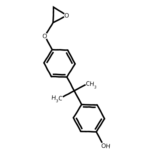 CC(C)(c1ccc(O)cc1)c1ccc(OC2CO2)cc1